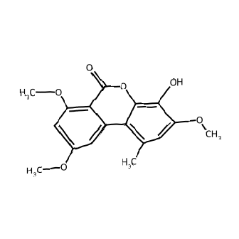 COc1cc(OC)c2c(=O)oc3c(O)c(OC)cc(C)c3c2c1